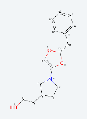 OCCC1CCN(C2=COC(Cc3ccccc3)O2)C1